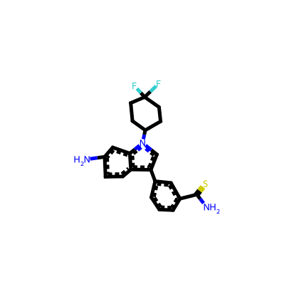 NC(=S)c1cccc(-c2cn(C3CCC(F)(F)CC3)c3cc(N)ccc23)c1